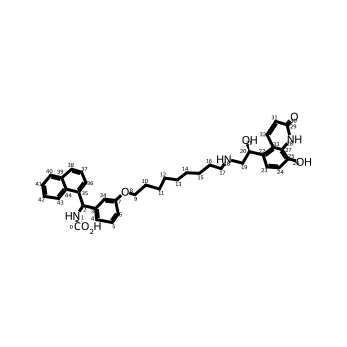 O=C(O)NC(c1cccc(OCCCCCCCCCNC[C@@H](O)c2ccc(O)c3[nH]c(=O)ccc23)c1)c1cccc2ccccc12